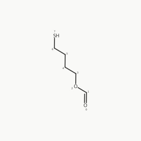 O=COCCCCS